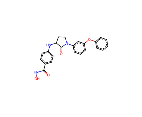 O=C(NO)c1ccc(NC2CCN(c3cccc(Oc4ccccc4)c3)C2=O)cc1